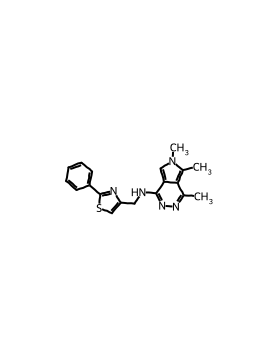 Cc1nnc(NCc2csc(-c3ccccc3)n2)c2cn(C)c(C)c12